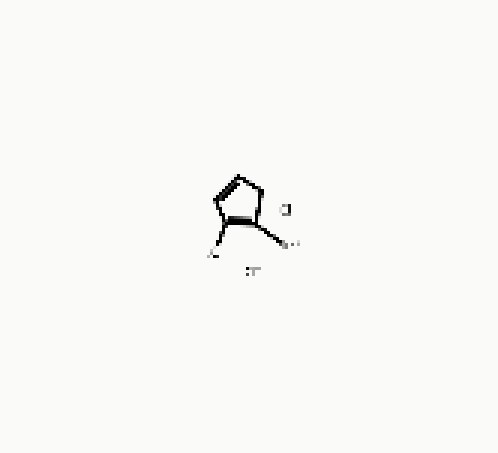 CC1=[C]([Ir+2])CC=C1.[Cl-].[Cl-]